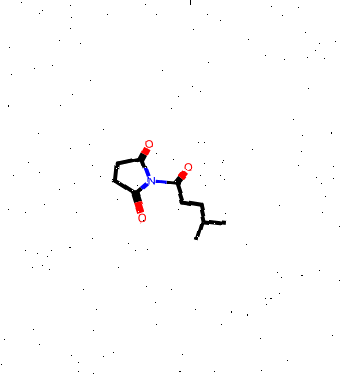 CC(C)CCC(=O)N1C(=O)CCC1=O